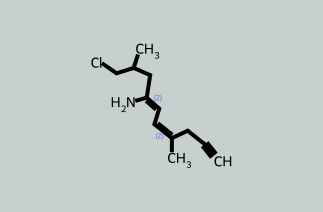 C#CC/C(C)=C\C=C(/N)CC(C)CCl